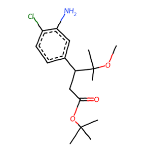 COC(C)(C)C(CC(=O)OC(C)(C)C)c1ccc(Cl)c(N)c1